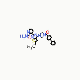 CCc1cc2c(N3CCN(C(=O)c4ccc(-c5ccccc5)cc4)CC3)nc(-c3cccnc3C(N)=O)nc2s1